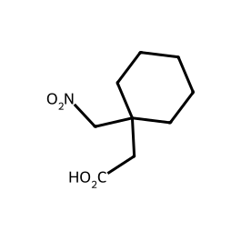 O=C(O)CC1(C[N+](=O)[O-])CCCCC1